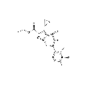 CCOC(=O)c1nn2cc(-c3ccc(C)c(F)c3F)[nH]c(=O)c2c1C1CC1